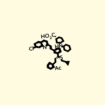 C1CCC(NC2CCCCC2)CC1.CC(=O)O.CC(=O)c1ccccc1CC[C@@H](SCC1CC1)c1cccc(C=Cc2ccc3ccc(Cl)cc3n2)c1